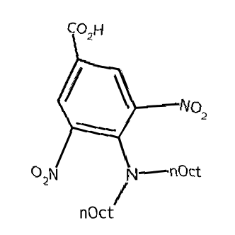 CCCCCCCCN(CCCCCCCC)c1c([N+](=O)[O-])cc(C(=O)O)cc1[N+](=O)[O-]